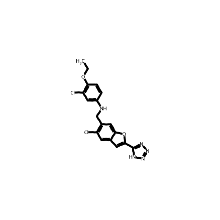 CCOc1ccc(NCc2cc3oc(-c4nnn[nH]4)cc3cc2Cl)cc1Cl